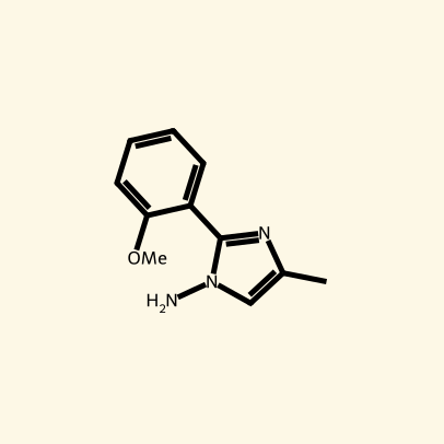 COc1ccccc1-c1nc(C)cn1N